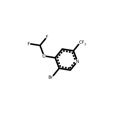 FC(F)Oc1cc(C(F)(F)F)ncc1Br